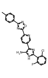 Cc1ccc(-c2noc(-c3ccc(-c4nc(-c5c(F)cccc5Cl)[nH]c4N)cn3)n2)cc1